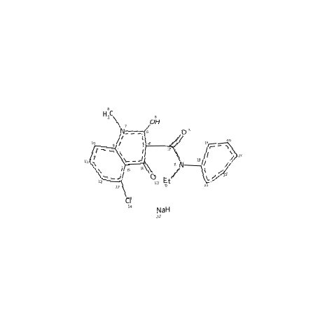 CCN(C(=O)c1c(O)n(C)c2cccc(Cl)c2c1=O)c1ccccc1.[NaH]